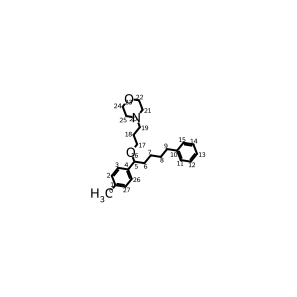 Cc1ccc(C(CCCCc2ccccc2)OCCCN2CCOCC2)cc1